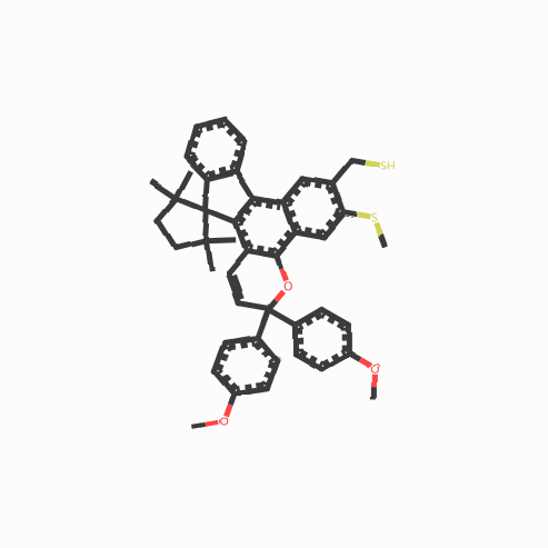 COc1ccc(C2(c3ccc(OC)cc3)C=Cc3c4c(c5cc(CS)c(SC)cc5c3O2)-c2ccccc2C42C(C)(C)CCC2(C)C)cc1